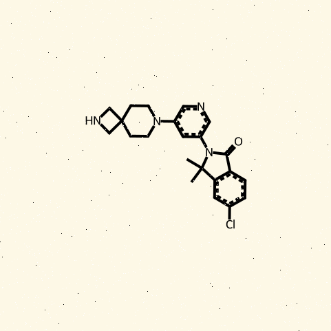 CC1(C)c2cc(Cl)ccc2C(=O)N1c1cncc(N2CCC3(CC2)CNC3)c1